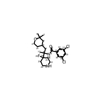 CC1(C)CC(CC(I)(NC(=O)c2cc(Cl)cc(Cl)c2)C2(F)CCNCC2)CCO1